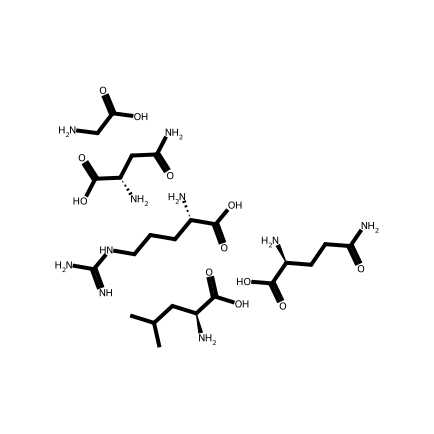 CC(C)C[C@H](N)C(=O)O.N=C(N)NCCC[C@H](N)C(=O)O.NC(=O)CC[C@H](N)C(=O)O.NC(=O)C[C@H](N)C(=O)O.NCC(=O)O